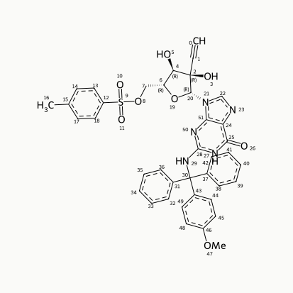 C#C[C@@]1(O)[C@H](O)[C@@H](COS(=O)(=O)c2ccc(C)cc2)O[C@H]1n1cnc2c(=O)[nH]c(NC(c3ccccc3)(c3ccccc3)c3ccc(OC)cc3)nc21